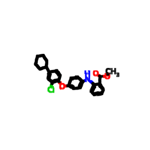 COC(=O)c1ccccc1Nc1ccc(Oc2ccc(C3CCCCC3)cc2Cl)cc1